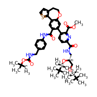 COC(=O)c1nc(C(=O)NC[C@H](CO[Si](C)(C)C(C)(C)C)O[Si](C)(C)C(C)(C)C)ccc1-c1cc2c(cc1C(=O)Nc1ccc(CNC(=O)OC(C)(C)C)cc1)-c1sccc1CCO2